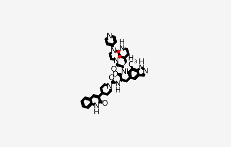 Cc1cc(CC(NC(=O)N2CCC(c3cc4ccccc4[nH]c3=O)CC2)C(=O)N[C@@H](CC2CCNCC2)C(=O)N2CCN(c3ccncc3)CC2)cc2cn[nH]c12